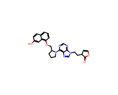 O=C1OC=CC1CCn1cnc2c(N3CCCC3COc3cccc4ccc(O)cc34)ncnc21